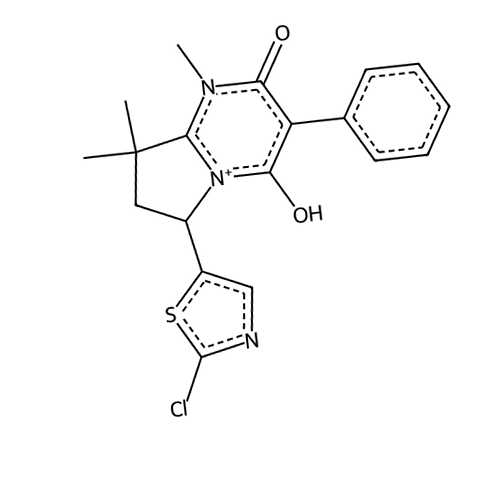 Cn1c2[n+](c(O)c(-c3ccccc3)c1=O)C(c1cnc(Cl)s1)CC2(C)C